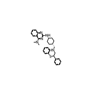 CN(C)c1nc(N[C@H]2CC[C@@H](CNCC(Sc3ccccc3)c3ccccc3)CC2)nc2ccccc12